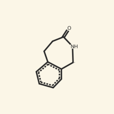 O=C1CCc2ccccc2[CH]N1